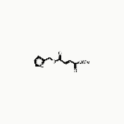 COC(=O)/C=C/C(=O)OCc1ccco1